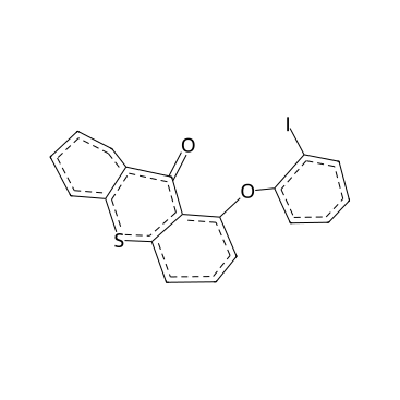 O=c1c2ccccc2sc2cccc(Oc3ccccc3I)c12